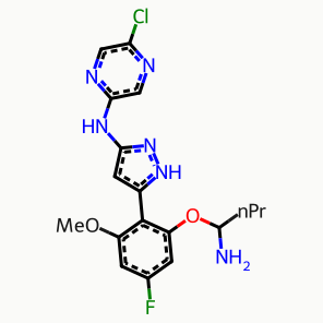 CCCC(N)Oc1cc(F)cc(OC)c1-c1cc(Nc2cnc(Cl)cn2)n[nH]1